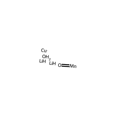 O.[Cu].[LiH].[LiH].[O]=[Mn]